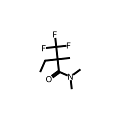 CCC(C)(C(=O)N(C)C)C(F)(F)F